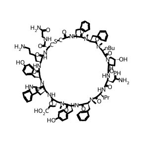 CCCC[C@H]1C(=O)N2C[C@H](O)C[C@@H]2C(=O)N[C@@H](CC(N)=P)C(=O)N[C@@H](C(C)C)C(=O)N(C)[C@@H](Cc2ccccc2)C(=O)N[C@@H](Cc2ccc(O)cc2)C(=O)N(C)[C@H](CCC(=O)O)C(=O)N[C@@H](Cc2c[nH]c3ccccc23)C(=O)N[C@@H](Cc2ccc(O)cc2)C(=O)N[C@@H](CCCCN)C(=O)N[C@H](C(=O)NCC(N)=O)CSCC(=O)N[C@@H](Cc2ccccc2)C(=O)N(C)[C@@H](Cc2ccccc2)C(=O)N1C